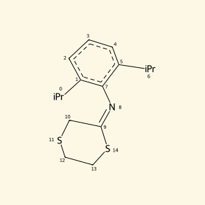 CC(C)c1cccc(C(C)C)c1N=C1CSCCS1